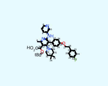 Cc1nc(Nc2cccnc2)c(-c2ccc(OCCc3ccc(F)cc3)cc2)c(N2CCC(C)(C)CC2)c1C(OC(C)(C)C)C(=O)O